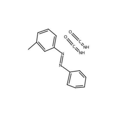 Cc1cccc(N=Nc2ccccc2)c1.N=C=O.N=C=O